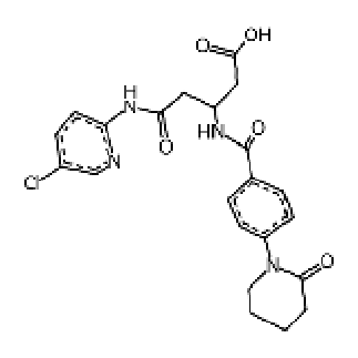 O=C(O)CC(CC(=O)Nc1ccc(Cl)cn1)NC(=O)c1ccc(N2CCCCC2=O)cc1